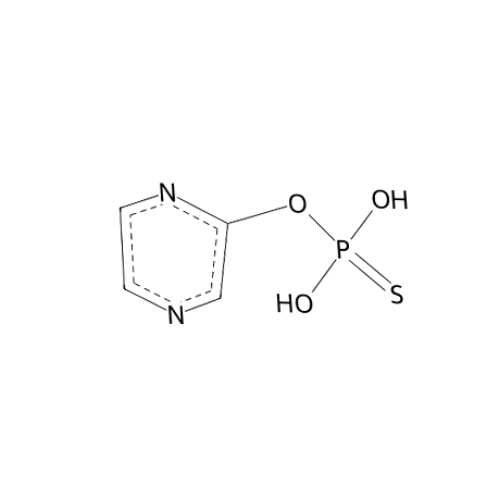 OP(O)(=S)Oc1cnccn1